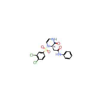 O=C(C[C@@H]1C(=O)NC=CN1S(=O)(=O)c1ccc(Cl)c(Cl)c1)Nc1ccccc1